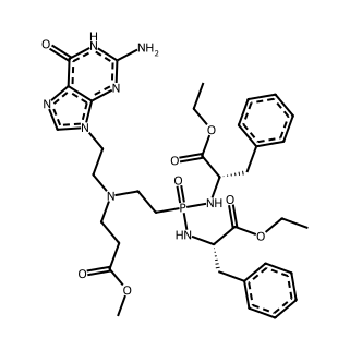 CCOC(=O)[C@H](Cc1ccccc1)NP(=O)(CCN(CCC(=O)OC)CCn1cnc2c(=O)[nH]c(N)nc21)N[C@@H](Cc1ccccc1)C(=O)OCC